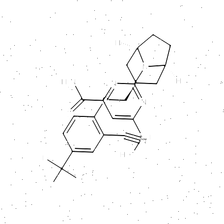 CNc1cc(C(N)=O)nc(N2[C@@H]3CC[C@H]2C[C@@H](COc2ccc(C(F)(F)F)cc2C#N)C3)n1